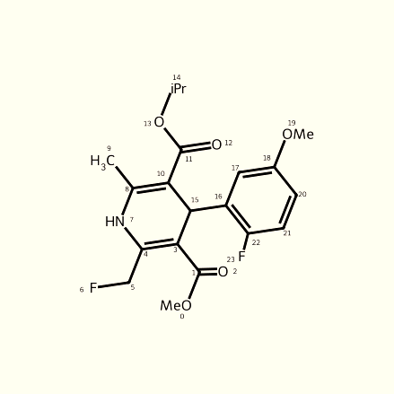 COC(=O)C1=C(CF)NC(C)=C(C(=O)OC(C)C)C1c1cc(OC)ccc1F